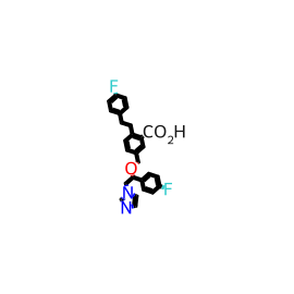 O=C(O)c1cc(COC(Cn2ccnc2)c2ccc(F)cc2)ccc1CCc1ccc(F)cc1